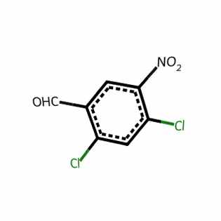 O=Cc1cc([N+](=O)[O-])c(Cl)cc1Cl